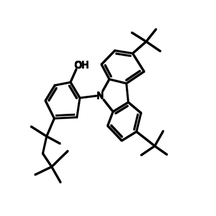 CC(C)(C)CC(C)(C)c1ccc(O)c(-n2c3ccc(C(C)(C)C)cc3c3cc(C(C)(C)C)ccc32)c1